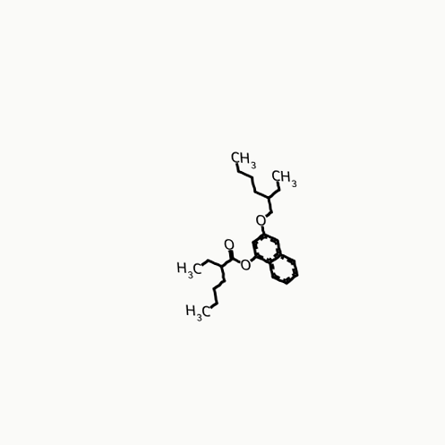 CCCCC(CC)COc1cc(OC(=O)C(CC)CCCC)c2ccccc2c1